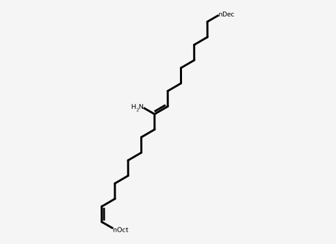 CCCCCCCC/C=C\CCCCCCCC(N)=CCCCCCCCCCCCCCCCCC